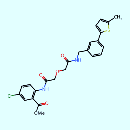 COC(=O)c1cc(Cl)ccc1NC(=O)COCC(=O)NCc1cccc(-c2ccc(C)s2)c1